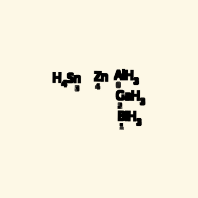 [AlH3].[BiH3].[GaH3].[SnH4].[Zn]